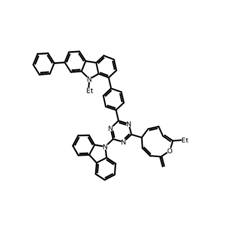 C=C1/C=C\C(c2nc(-c3ccc(-c4cccc5c6ccc(-c7ccccc7)cc6n(CC)c45)cc3)nc(-n3c4ccccc4c4ccccc43)n2)/C=C\C=C(/CC)O1